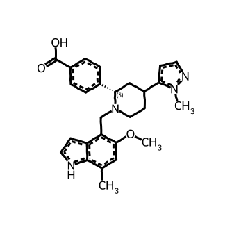 COc1cc(C)c2[nH]ccc2c1CN1CCC(c2ccnn2C)C[C@H]1c1ccc(C(=O)O)cc1